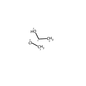 CCO.CCl